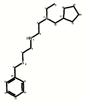 CCN(CCNCCSCc1ccccc1)CC1CCCC1